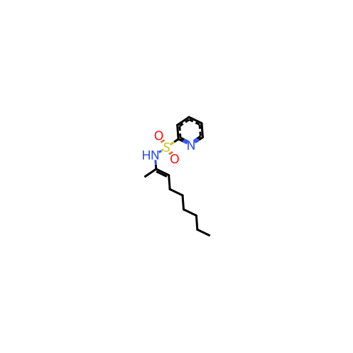 CCCCCCC=C(C)NS(=O)(=O)c1ccccn1